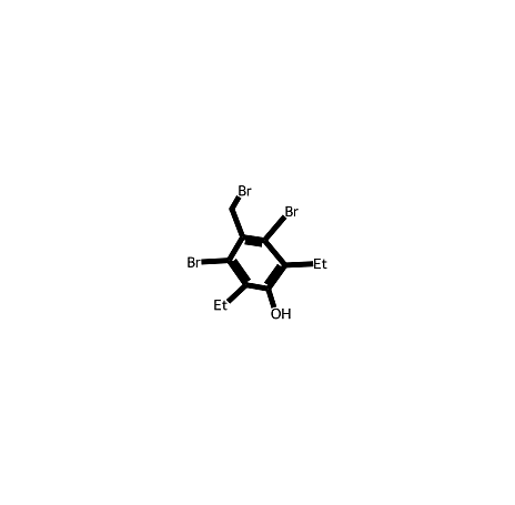 CCc1c(O)c(CC)c(Br)c(CBr)c1Br